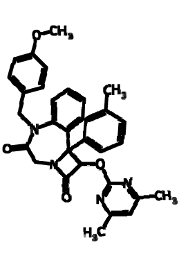 COc1ccc(CN2C(=O)CN3C(=O)C(Oc4nc(C)cc(C)n4)C3(c3cccc(C)c3)c3ccccc32)cc1